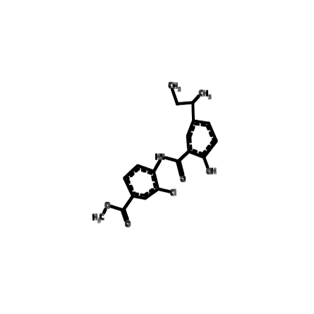 CCC(C)c1ccc(O)c(C(=O)Nc2ccc(C(=O)OC)cc2Cl)c1